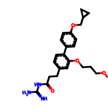 COCCCOc1cc(CCC(=O)NC(=N)N)ccc1-c1ccc(OCC2CC2)cc1